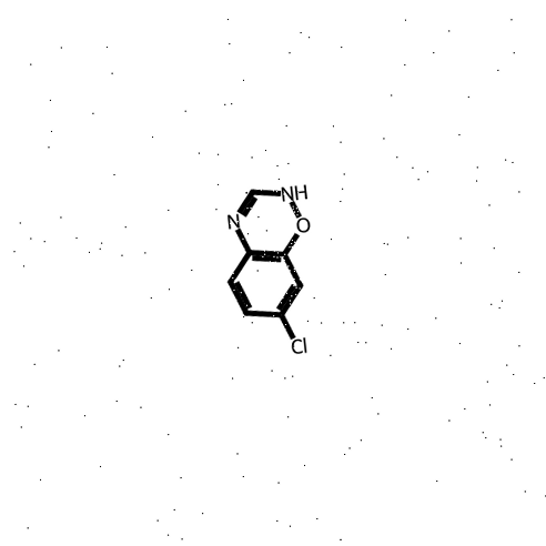 Clc1ccc2c(c1)ON[C]=N2